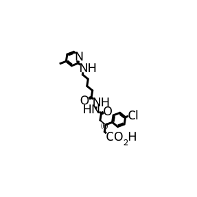 Cc1ccnc(NCCCCC(=O)NNC(=O)C[C@H](CC(=O)O)c2ccc(Cl)cc2)c1